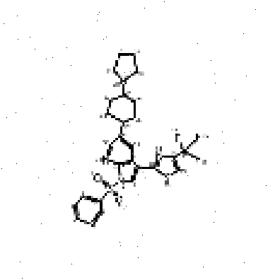 O=S(=O)(c1ccccc1)n1cc(-c2nc(C(F)(F)F)cs2)c2cc(C3CCC(N4CCCC4)CC3)cnc21